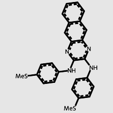 CSc1ccc(Nc2nc3cc4ccccc4cc3nc2Nc2ccc(SC)cc2)cc1